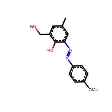 COc1ccc(N=Nc2cc(C)cc(CO)c2O)cc1